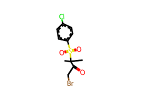 CC(C)(C(=O)CBr)S(=O)(=O)c1ccc(Cl)cc1